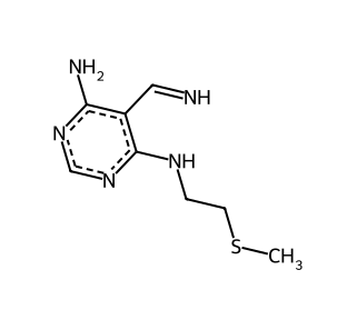 CSCCNc1ncnc(N)c1C=N